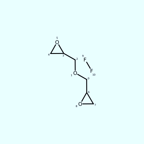 C(OCC1CO1)C1CO1.FF